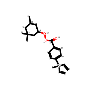 C=C[Si](C)(C=C)c1ccc(C(=O)OO[C]2CC(C)CC(C)(C)C2)cc1